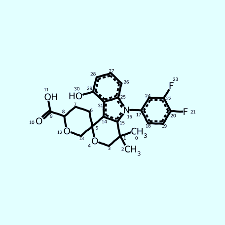 CC1(C)COC2(CCC(C(=O)O)OC2)c2c1n(-c1ccc(F)c(F)c1)c1cccc(O)c21